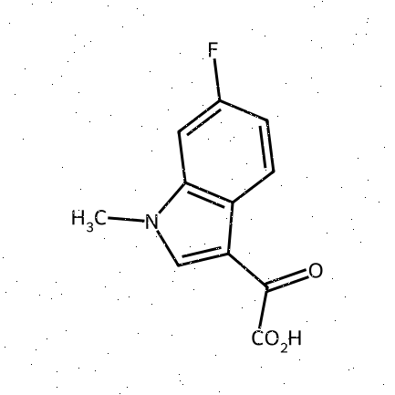 Cn1cc(C(=O)C(=O)O)c2ccc(F)cc21